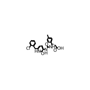 Cc1ccc([C@H](CC(=O)O)NC(=O)Nc2ccc(Cc3ccccc3Cl)[nH]c2=O)cc1